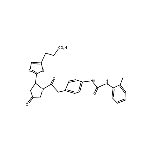 Cc1ccccc1NC(=O)Nc1ccc(CC(=O)N2CC(=O)CC2c2ncc(CCC(=O)O)s2)cc1